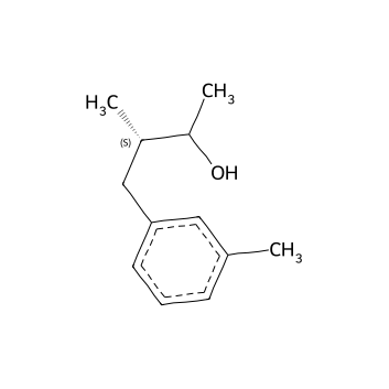 Cc1cccc(C[C@H](C)C(C)O)c1